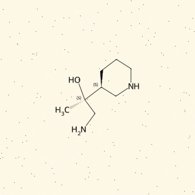 C[C@@](O)(CN)[C@H]1CCCNC1